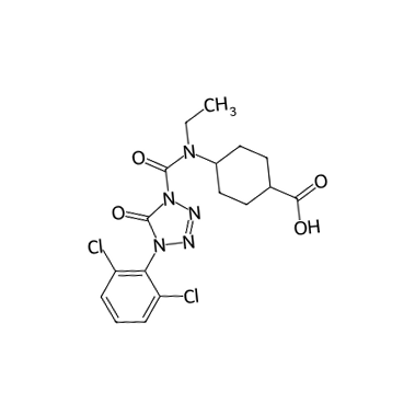 CCN(C(=O)n1nnn(-c2c(Cl)cccc2Cl)c1=O)C1CCC(C(=O)O)CC1